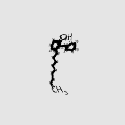 CCCCCCCCCc1cccc(O)c1-c1ccccc1